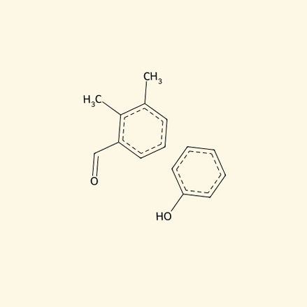 Cc1cccc(C=O)c1C.Oc1ccccc1